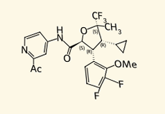 COc1c([C@@H]2[C@@H](C(=O)Nc3ccnc(C(C)=O)c3)O[C@](C)(C(F)(F)F)[C@@H]2C2CC2)ccc(F)c1F